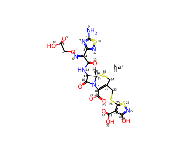 Nc1nc(C(=NOCC(=O)O)C(=O)NC2C(=O)N3C(C(=O)[O-])=C(CSc4snc(O)c4C(=O)O)CS[C@@H]23)ns1.[Na+]